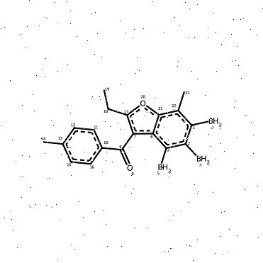 Bc1c(B)c(B)c2c(C(=O)c3ccc(C)cc3)c(CC)oc2c1C